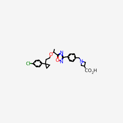 CC(OCCC1(c2ccc(Cl)cc2)CC1)c1nc(-c2ccc(CN3CC(C(=O)O)C3)cc2)no1